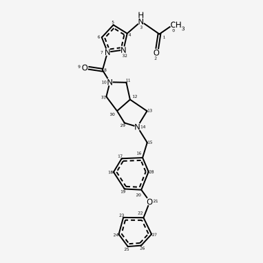 CC(=O)Nc1ccn(C(=O)N2CC3CN(Cc4cccc(Oc5ccccc5)c4)CC3C2)n1